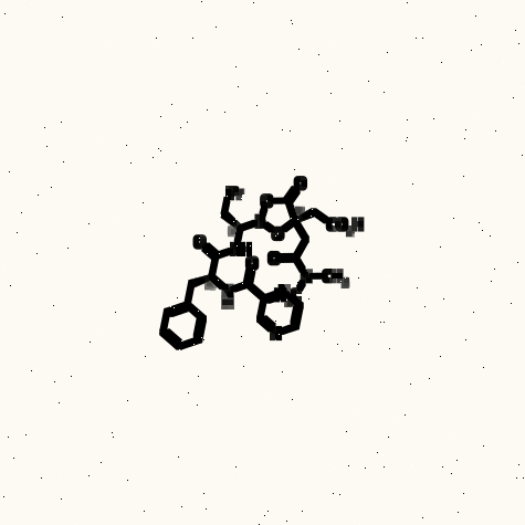 CC(C)C[C@H](NC(=O)[C@H](Cc1ccccc1)NC(=O)c1cnccn1)B1OC(=O)[C@](CC(=O)O)(CC(=O)N(C)C)O1